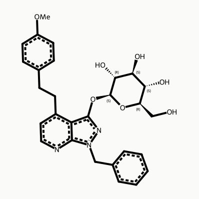 COc1ccc(CCc2ccnc3c2c(O[C@@H]2O[C@H](CO)[C@@H](O)[C@H](O)[C@H]2O)nn3Cc2ccccc2)cc1